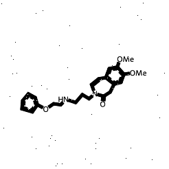 COc1cc2c(cc1OC)CC(=O)N(CCCNCCOc1ccccc1)C=C2